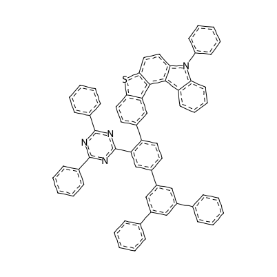 c1ccc(-c2cc(-c3ccccc3)cc(-c3ccc(-c4ccc5sc6ccc7c(c8ccccc8n7-c7ccccc7)c6c5c4)c(-c4nc(-c5ccccc5)nc(-c5ccccc5)n4)c3)c2)cc1